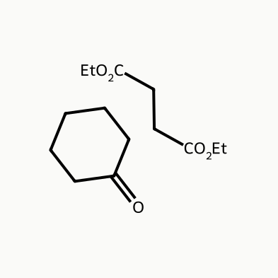 CCOC(=O)CCC(=O)OCC.O=C1CCCCC1